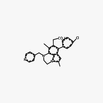 Cc1c(CC(=O)O)c(-c2ccc(Cl)cc2)c2cc(C)n3c2c1N(Cc1ccncc1)CC3